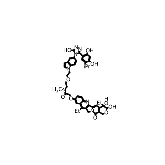 CCc1c2c(nc3ccc(OCC(=O)N(C)CCOCCn4ccc5cc(-n6c(O)nnc6-c6cc(C(C)C)c(O)cc6O)ccc54)cc13)-c1cc3c(c(=O)n1C2)COC(O)C3(O)CC